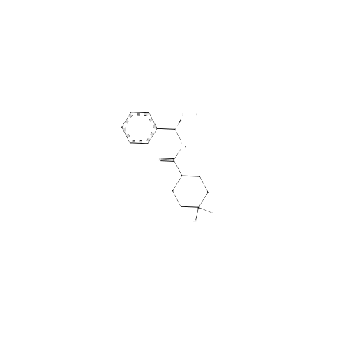 O=C[C@@H](NC(=O)C1CCC(F)(F)CC1)c1ccccc1